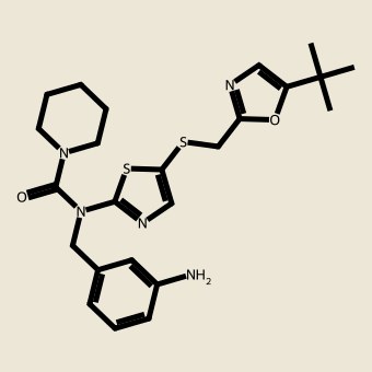 CC(C)(C)c1cnc(CSc2cnc(N(Cc3cccc(N)c3)C(=O)N3CCCCC3)s2)o1